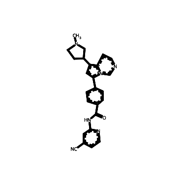 CN1CCC(c2cc(-c3ccc(C(=O)Nc4cc(C#N)ccn4)cc3)n3cnccc23)C1